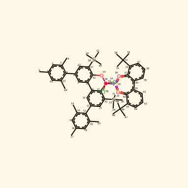 Cc1cc(C)c(-c2cc(-c3cc(-c4c(C)cc(C)cc4C)cc([Si](C)(C)C)c3Op3oc4c(C(C)(C)C)cccc4c4cccc(C(C)(C)C)c4o3)c(OP(Cl)Cl)c([Si](C)(C)C)c2)c(C)c1